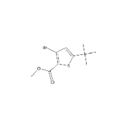 COC(=O)c1sc(C(C)(C)C)cc1Br